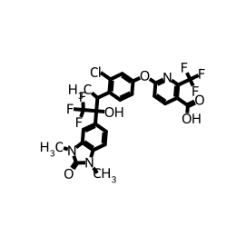 CC(c1ccc(Oc2ccc(C(=O)O)c(C(F)(F)F)n2)cc1Cl)C(O)(c1ccc2c(c1)n(C)c(=O)n2C)C(F)(F)F